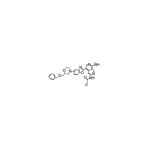 CNc1ncc(-c2nc3cc(N4CCOC(COCc5ccccc5)C4)ccc3o2)c2cc(NC(=O)C3CC3)ncc12